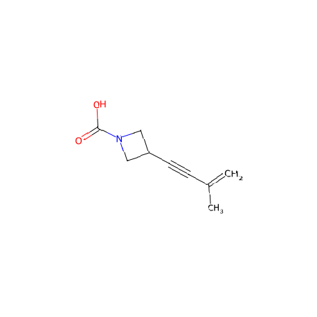 C=C(C)C#CC1CN(C(=O)O)C1